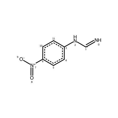 N=[C]Nc1ccc([N+](=O)[O-])cc1